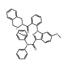 COc1ccc2c(C(=O)N(c3ccccc3)c3ccccc3)nn(-c3ccccc3C(=O)N3Cc4ccccc4C[C@H]3CN)c2c1